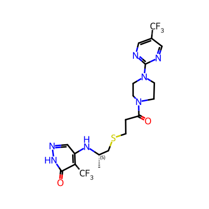 C[C@@H](CSCCC(=O)N1CCN(c2ncc(C(F)(F)F)cn2)CC1)Nc1cn[nH]c(=O)c1C(F)(F)F